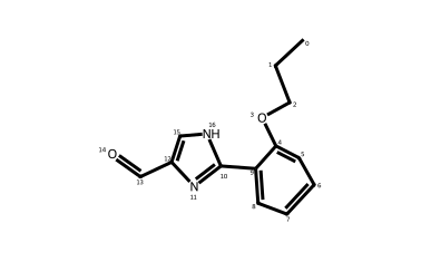 CCCOc1ccccc1-c1nc(C=O)c[nH]1